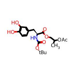 CC(=O)OC(C)COC(=O)[C@H](Cc1ccc(O)c(O)c1)NC(=O)OC(C)(C)C